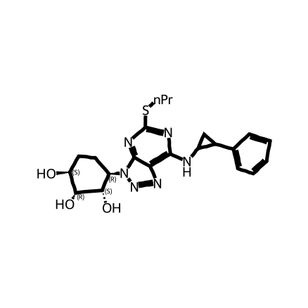 CCCSc1nc(NC2CC2c2ccccc2)c2nnn([C@@H]3CC[C@H](O)[C@@H](O)[C@H]3O)c2n1